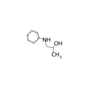 CC(O)CNc1ccccc1